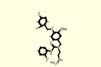 COc1cc(CN(CCNC(=O)O)C(=O)Nc2ccccc2Cl)ccc1OCc1ccc(F)cc1F